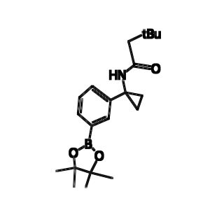 CC(C)(C)CC(=O)NC1(c2cccc(B3OC(C)(C)C(C)(C)O3)c2)CC1